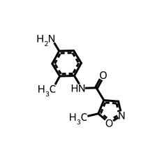 Cc1cc(N)ccc1NC(=O)c1cnoc1C